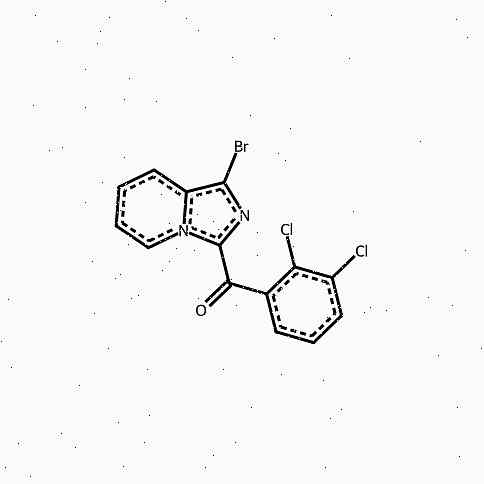 O=C(c1cccc(Cl)c1Cl)c1nc(Br)c2ccccn12